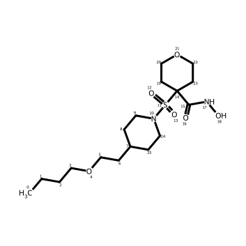 CCCCOCCC1CCN(S(=O)(=O)C2(C(=O)NO)CCOCC2)CC1